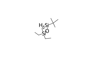 CC[Si](CC)(CC)O[SiH2]C(C)(C)C